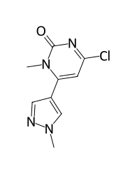 Cn1cc(-c2cc(Cl)nc(=O)n2C)cn1